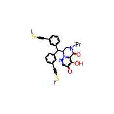 CC(C)N1CC(C(c2cccc(C#CSI)c2)c2cccc(C#CSI)c2)n2ncc(=O)c(O)c2C1=O